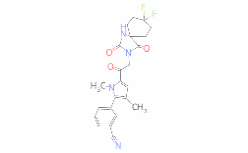 Cc1cc(C(=O)CN2C(=O)NC3(CCC(F)(F)CC3)C2=O)n(C)c1-c1cccc(C#N)c1